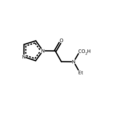 CCN(CC(=O)n1ccnc1)C(=O)O